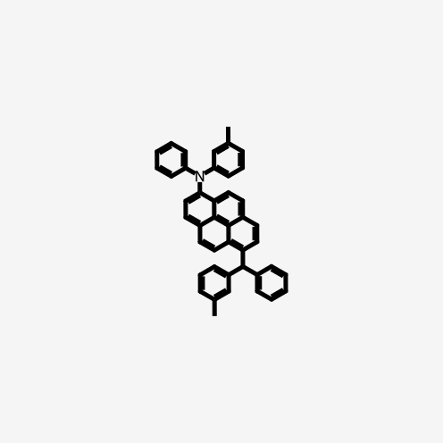 Cc1cccc(C(c2ccccc2)c2ccc3ccc4c(N(c5ccccc5)c5cccc(C)c5)ccc5ccc2c3c54)c1